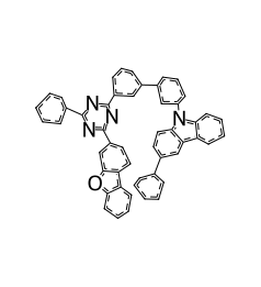 c1ccc(-c2ccc3c(c2)c2ccccc2n3-c2cccc(-c3cccc(-c4nc(-c5ccccc5)nc(-c5ccc6c(c5)oc5ccccc56)n4)c3)c2)cc1